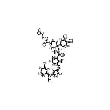 COCCOC(=O)N1CCC(CNC(=O)c2nccc(Sc3cnc(Nc4cc(C)ccn4)s3)c2F)(c2ccc(Cl)c(Cl)c2)CC1